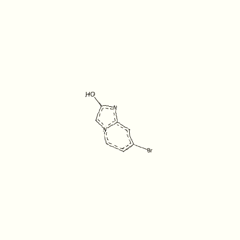 Oc1cn2ccc(Br)cc2n1